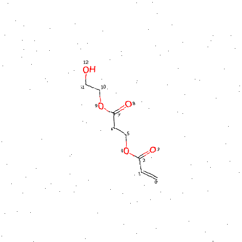 C=CC(=O)OCCC(=O)OCCO